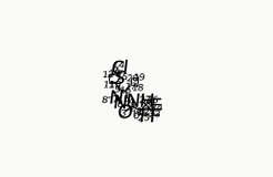 C[C@@H](C(=O)Nc1nn(C)c(-c2ccc(Cl)s2)c1C1CCC1)C1(C(F)(F)F)CC1